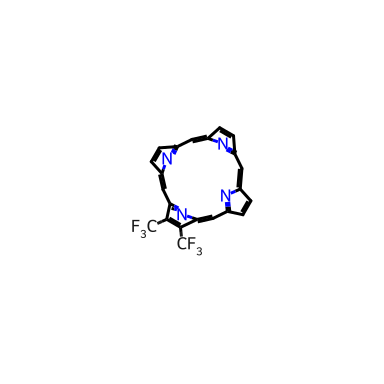 FC(F)(F)C1=C(C(F)(F)F)C2=NC1=CC1=NC(=CC3=NC(=CC4=NC(=C2)C=C4)C=C3)C=C1